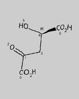 O=C(O)C(=O)C[C@@H](O)C(=O)O